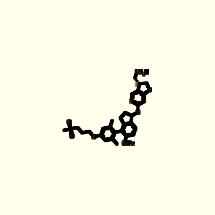 COc1ccc2c(c1-c1c(C)cc(OCCCS(C)(=O)=O)cc1C)CCC2Oc1cc2c(cn1)[C@H](CC(=O)O)CO2